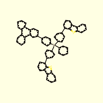 c1ccc([Si](c2ccc(-c3ccc4c5ccccc5c5ccccc5c4c3)cc2)(c2ccc(-c3cccc4c3sc3ccccc34)cc2)c2ccc(-c3cccc4c3sc3ccccc34)cc2)cc1